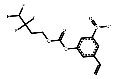 C=Cc1cc(OC(=O)OCCC(F)(F)C(F)F)cc([N+](=O)[O-])c1